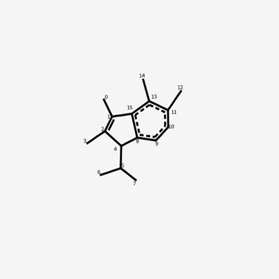 CC1=C(C)C(C(C)C)c2ccc(C)c(C)c21